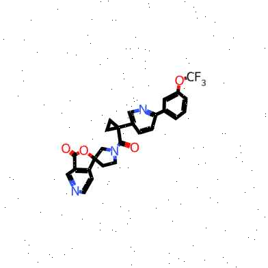 O=C1OC2(CCN(C(=O)C3(c4ccc(-c5cccc(OC(F)(F)F)c5)nc4)CC3)C2)c2ccncc21